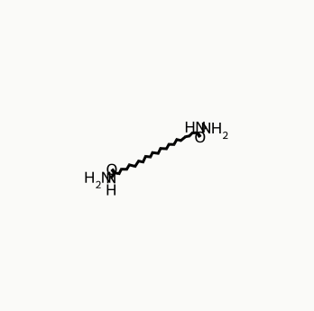 NNC(=O)CCCCCCCCCCCCCCCCCCCCC(=O)NN